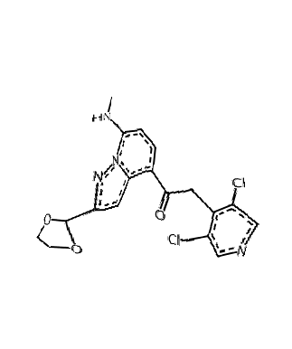 CNc1ccc(C(=O)Cc2c(Cl)cncc2Cl)c2cc(C3OCCO3)nn12